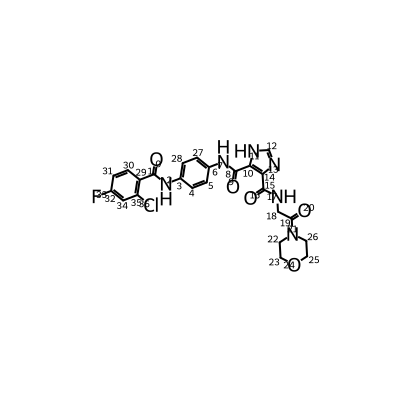 O=C(Nc1ccc(NC(=O)c2[nH]cnc2C(=O)NCC(=O)N2CCOCC2)cc1)c1ccc(F)cc1Cl